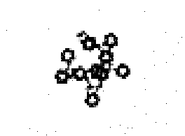 c1ccc(-n2c3cc(Cn4c(-n5c6ccccc6c6cc7c(cc65)c5ccccc5n7-c5ccccc5)nc5ccccc54)ccc3c3cc4c(cc32)c2ccccc2n4-c2ccc3ocnc3c2)cc1